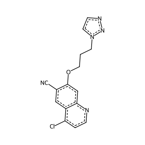 N#Cc1cc2c(Cl)ccnc2cc1OCCCn1ccnn1